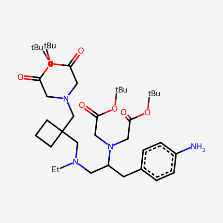 CCN(CC(Cc1ccc(N)cc1)N(CC(=O)OC(C)(C)C)CC(=O)OC(C)(C)C)CC1(CN(CC(=O)OC(C)(C)C)CC(=O)OC(C)(C)C)CCC1